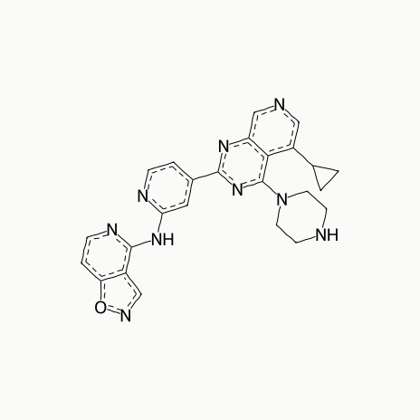 c1cc(-c2nc(N3CCNCC3)c3c(C4CC4)cncc3n2)cc(Nc2nccc3oncc23)n1